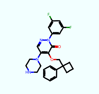 O=c1c(OCC2(c3ccccc3)CCC2)c(N2CCNCC2)cnn1-c1cc(F)cc(F)c1